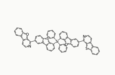 c1ccc([Si](c2ccccc2)(c2cccc3c2oc2ccc(-c4nccc5c4sc4ccccc45)cc23)c2cccc3c2sc2ccc(-c4nccc5c4oc4ccccc45)cc23)cc1